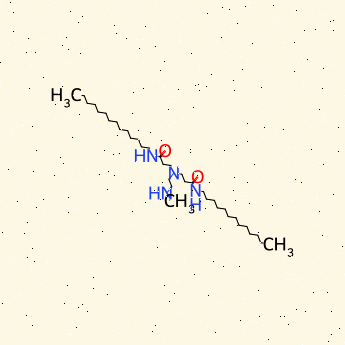 CCCCCCCCCCCCCCNC(=O)CCN(CCNC)CCC(=O)NCCCCCCCCCCCCC